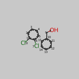 Clc1ccccc1Cl.OCc1ccccc1